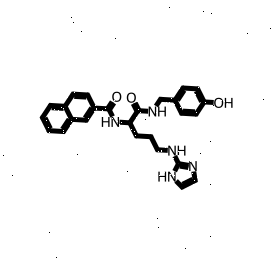 O=C(NC(CCCNc1ncc[nH]1)C(=O)NCc1ccc(O)cc1)c1ccc2ccccc2c1